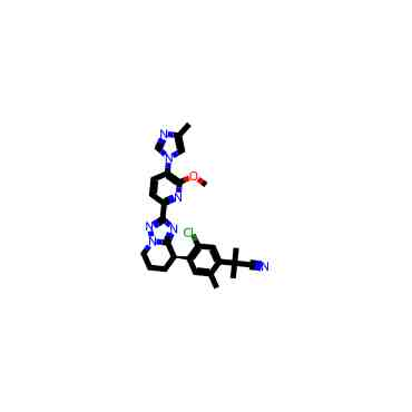 COc1nc(-c2nc3n(n2)CCC[C@@H]3c2cc(C)c(C(C)(C)C#N)cc2Cl)ccc1-n1cnc(C)c1